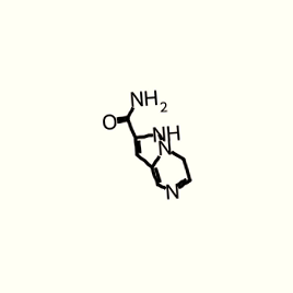 NC(=O)C1=CC2=CN=CCN2N1